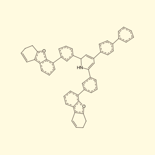 C1=Cc2c(oc3c(-c4cccc(C5=CC(c6ccc(-c7ccccc7)cc6)=CC(c6cccc(-c7cccc8c9c(oc78)CCC=C9)c6)N5)c4)cccc23)CC1